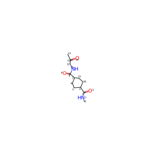 CNC(=O)C1CCC(C(=O)NCC(C)=O)CC1